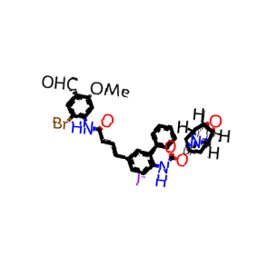 COc1cc(NC(=O)CCCc2ccc(NC(=O)O[C@@H]3C[C@@H]4[C@H]5O[C@H]5[C@H](C3)[N+]4(C)C)c(-c3ccccc3)c2)c(Br)cc1C=O.[I-]